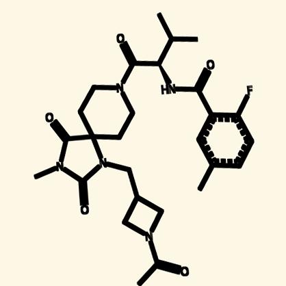 CC(=O)N1CC(CN2C(=O)N(C)C(=O)C23CCN(C(=O)[C@H](NC(=O)c2cc(C)ccc2F)C(C)C)CC3)C1